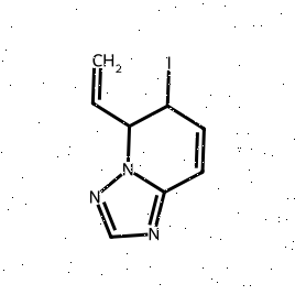 C=CC1C(I)C=Cc2ncnn21